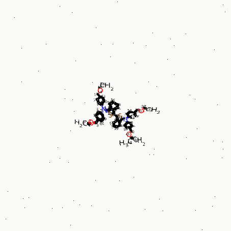 C=COCc1ccc(N(c2ccc(COC=C)cc2)c2sc(-c3sc(N(c4ccc(COC=C)cc4)c4ccc(COC(=C)C)cc4)c4ccccc34)c3ccccc23)cc1